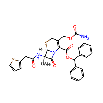 CO[C@@]1(NC(=O)Cc2cccs2)C(=O)N2C(C(=O)OC(c3ccccc3)c3ccccc3)=C(COC(N)=O)CS[C@@H]21